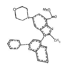 COC(=O)c1cc(N2CCOCC2)cc2c1nc(C)n2-c1cc(-c2ccccc2)nc2ccccc12